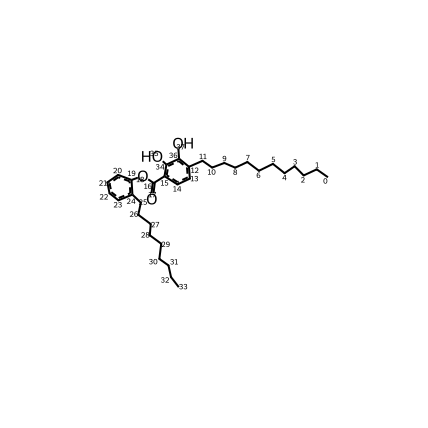 CCCCCCCCCCCCc1ccc(C(=O)Oc2ccccc2CCCCCCCCC)c(O)c1O